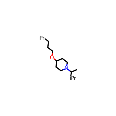 CC(C)CCCOC1CCN(C(C)C(C)C)CC1